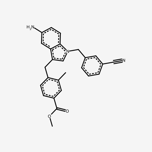 COC(=O)c1ccc(Cc2cn(Cc3cccc(C#N)c3)c3ccc(N)cc23)c(C)c1